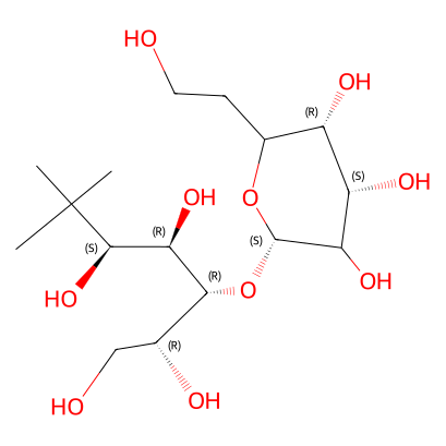 CC(C)(C)[C@H](O)[C@@H](O)[C@H](O[C@@H]1OC(CCO)[C@H](O)[C@H](O)C1O)[C@H](O)CO